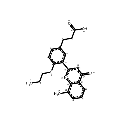 CCCOc1ccc(CCC(=O)O)cc1-c1nc2c(C)cccc2c(=O)[nH]1